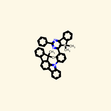 CC1(C)c2ccccc2-c2ccc3c4ccccc4n(-c4cccc(-c5nc(-c6ccccc6)nc6c5[Si](C)(C)c5ccccc5-6)c4)c3c21